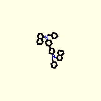 c1ccc(CN(c2ccc(-c3ccc(N(Cc4ccccc4)c4cccc5ccccc45)cc3)cc2)c2cccc3ccccc23)cc1